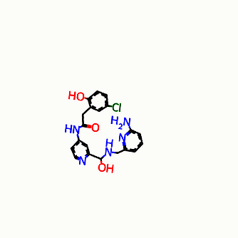 Nc1cccc(CNC(O)c2cc(NC(=O)Cc3cc(Cl)ccc3O)ccn2)n1